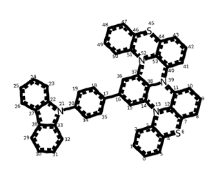 c1ccc2c(c1)sc1cccc3c1n2c1cc(-c2ccc(-n4c5ccccc5c5ccccc54)cc2)cc2c1-n3c1cccc3sc4ccccc4n2c31